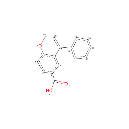 O=C(O)c1ccc2c(c1)C(c1ccccc1)=CCO2